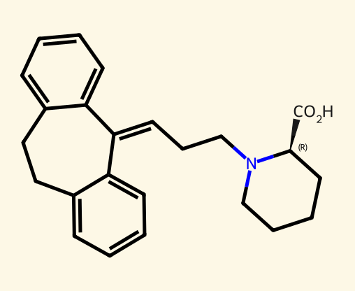 O=C(O)[C@H]1CCCCN1CCC=C1c2ccccc2CCc2ccccc21